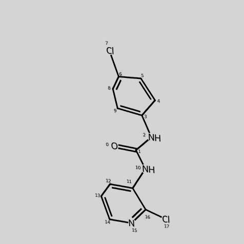 O=C(Nc1ccc(Cl)cc1)Nc1cccnc1Cl